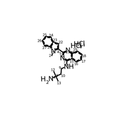 Cl.Cl.Cn1c(-c2nc(NCCC(C)(C)N)c3ccccc3n2)cc2ccccc21